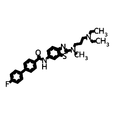 CCN(CC)CCCN(C)c1nc2ccc(NC(=O)c3ccc(-c4ccc(F)cc4)cc3)cc2s1